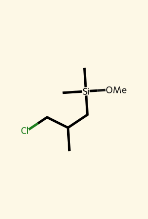 CO[Si](C)(C)CC(C)CCl